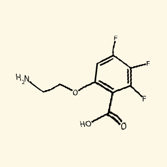 NCCOc1cc(F)c(F)c(F)c1C(=O)O